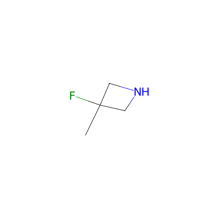 CC1(F)CNC1